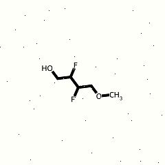 COCC(F)C(F)CO